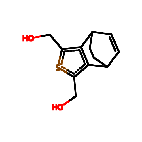 OCc1sc(CO)c2c1C1C=CC2CC1